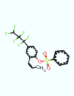 C/C=C\c1cc(C(F)(F)C(F)(F)C(F)F)ccc1OS(=O)(=O)c1ccccc1